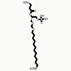 CCCCCCCCCCCCC(=O)O[C@@H](COCOCCCCCCCCCCCCNC(C)=O)COP(=O)(O)O